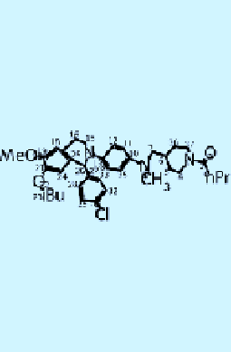 CCCC(=O)N1CCC(CN(C)c2ccc(N3CCc4cc(OC)c(O[C@H](C)CC)cc4C3c3ccc(Cl)cc3)cc2)CC1